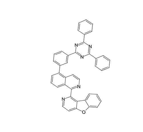 c1ccc(-c2nc(-c3ccccc3)nc(-c3cccc(-c4cccc5c(-c6nccc7oc8ccccc8c67)nccc45)c3)n2)cc1